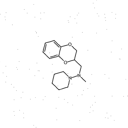 CN(CC1COc2ccccc2O1)N1CCCCC1